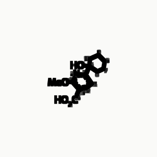 COc1nc(C2(O)CCCCC2)ccc1C(=O)O